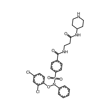 O=C(CCNC(=O)c1ccc(S(=O)(=O)N(Oc2ccc(Cl)cc2Cl)c2ccccc2)cc1)NC1CCNCC1